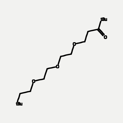 CC(C)(C)CCOCCOCCOCCC(=O)C(C)(C)C